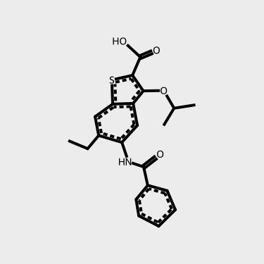 CCc1cc2sc(C(=O)O)c(OC(C)C)c2cc1NC(=O)c1ccccc1